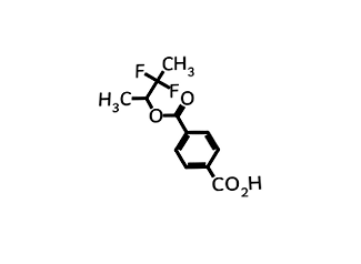 CC(OC(=O)c1ccc(C(=O)O)cc1)C(C)(F)F